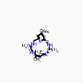 COc1cc2nc(c1)CN[C@@H](C)CN/C(C)=C\C(C)=N\C[C@H](C)NC2